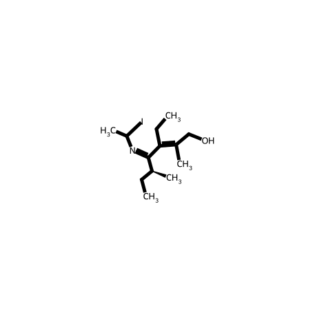 CCC(/C(=N\C(C)I)[C@@H](C)CC)=C(/C)CO